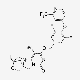 CC(C)c1c(OCc2cc(F)c(Oc3ccnc(C(F)(F)F)c3)c(F)c2)nc(=O)n2c1N1C[C@@H]3C[C@]1(CO3)C2